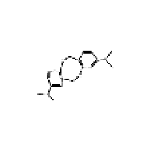 CN(C)c1ccc2c(c1)COc1cc(N(C)C)ccc1CO2